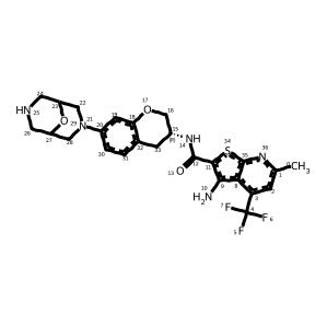 Cc1cc(C(F)(F)F)c2c(N)c(C(=O)N[C@H]3COc4cc(N5CC6CNCC(C5)O6)ccc4C3)sc2n1